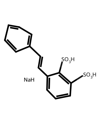 O=S(=O)(O)c1cccc(C=Cc2ccccc2)c1S(=O)(=O)O.[NaH]